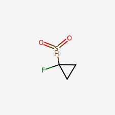 O=[SH](=O)C1(F)CC1